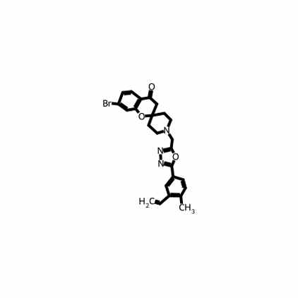 C=Cc1cc(-c2nnc(CN3CCC4(CC3)CC(=O)c3ccc(Br)cc3O4)o2)ccc1C